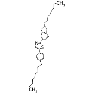 CCCCCCCCCc1ccc(-c2cnc(-c3ccc4c(c3)CC(CCCCCCCC)C4)s2)cc1